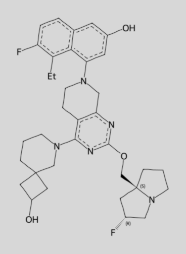 CCc1c(F)ccc2cc(O)cc(N3CCc4c(nc(OC[C@@]56CCCN5C[C@H](F)C6)nc4N4CCCC5(CC(O)C5)C4)C3)c12